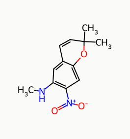 CNc1cc2c(cc1[N+](=O)[O-])OC(C)(C)C=C2